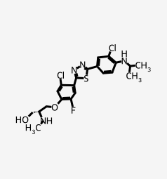 CN[C@H](CO)COc1cc(Cl)c(-c2nnc(-c3ccc(NC(C)C)c(Cl)c3)s2)cc1F